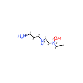 CCN(O)CCNCCCN